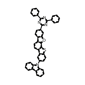 c1ccc(-c2nc(-c3ccccc3)nc(-c3ccc4c(c3)oc3c4ccc4c5cc(-n6c7ccccc7c7ccccc76)ccc5sc43)n2)cc1